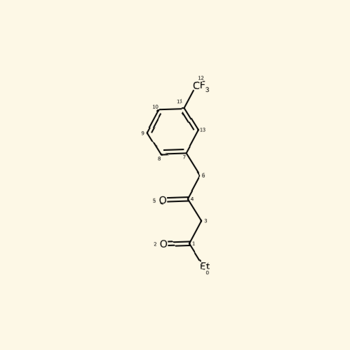 CCC(=O)CC(=O)Cc1cccc(C(F)(F)F)c1